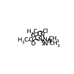 CCOC(=O)c1cn(-c2nc(N(C)C)ns2)c2nc(Cl)cc(C)c2c1=O